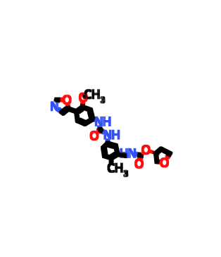 COc1cc(NC(=O)Nc2ccc(C)c(CNC(=O)O[C@H]3CCOC3)c2)ccc1-c1cnco1